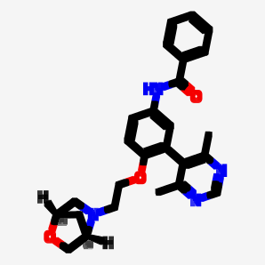 Cc1ncnc(C)c1-c1cc(NC(=O)c2ccccc2)ccc1OCCN1C[C@@H]2C[C@H]1CO2